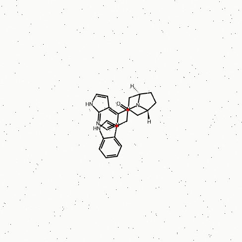 O=C(Cc1c[nH]c2ccccc12)N1[C@@H]2CC[C@@H]1CN(c1ncnc3[nH]ccc13)C2